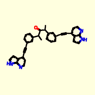 CC(C(=O)C(C)c1cccc(C#Cc2ccnc3[nH]ccc23)c1)c1cccc(C#Cc2ccnc3[nH]ccc23)c1